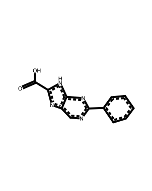 O=C(O)c1nc2cnc(-c3ccccc3)nc2[nH]1